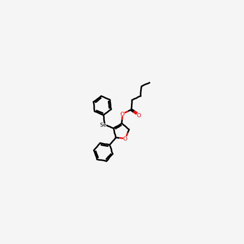 CCCCC(=O)OC1=C([Se]c2ccccc2)C(c2ccccc2)OC1